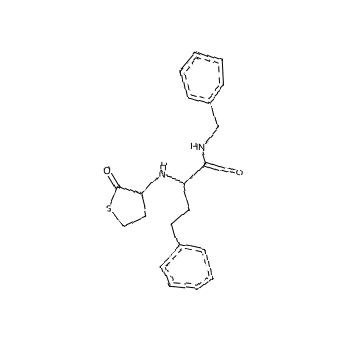 O=C(NCc1ccccc1)C(CCc1ccccc1)NC1CCSC1=O